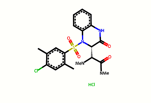 CNC(=O)C(NC)[C@H]1C(=O)Nc2ccccc2N1S(=O)(=O)c1cc(C)c(Cl)cc1C.Cl